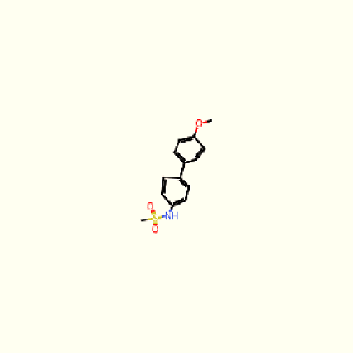 COc1ccc(-c2ccc(NS(C)(=O)=O)cc2)cc1